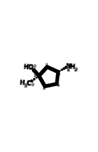 C[C@@]1(O)CC[C@@H](N)C1